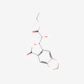 CCOC(=O)[C@@H](O)[C@@H]1OC(=O)c2cc3c(cc21)OCO3